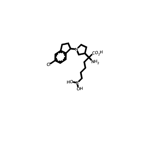 NC(CCCCB(O)O)(C(=O)O)C1CCN(C2CCc3cc(Cl)ccc32)C1